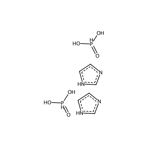 O=[PH](O)O.O=[PH](O)O.c1c[nH]cn1.c1c[nH]cn1